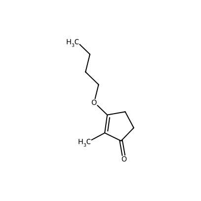 CCCCOC1=C(C)C(=O)CC1